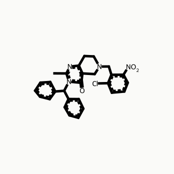 Cc1nc2c(c(=O)n1C(c1ccccc1)c1ccccc1)CN(Cc1c(Cl)cccc1[N+](=O)[O-])CC2